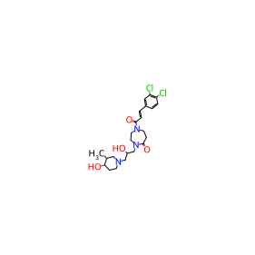 C[C@H]1CN(CC(O)CN2CCN(C(=O)C=Cc3ccc(Cl)c(Cl)c3)CCC2=O)CC[C@H]1O